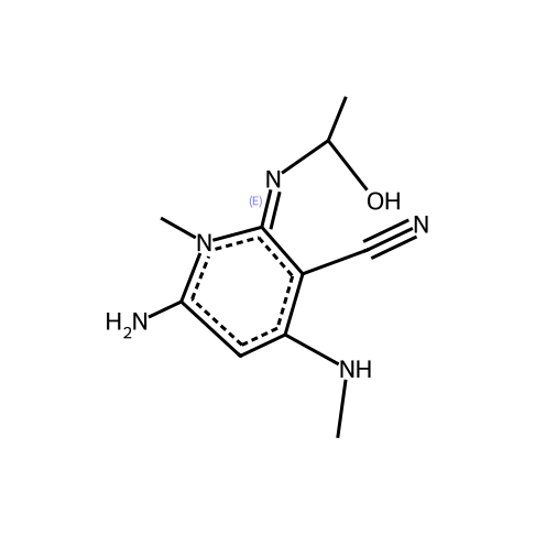 CNc1cc(N)n(C)/c(=N/C(C)O)c1C#N